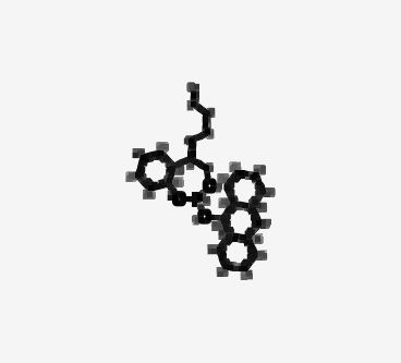 C=C/C=C\C=C1/COP(Oc2c3ccccc3cc3ccccc23)Oc2ccccc21